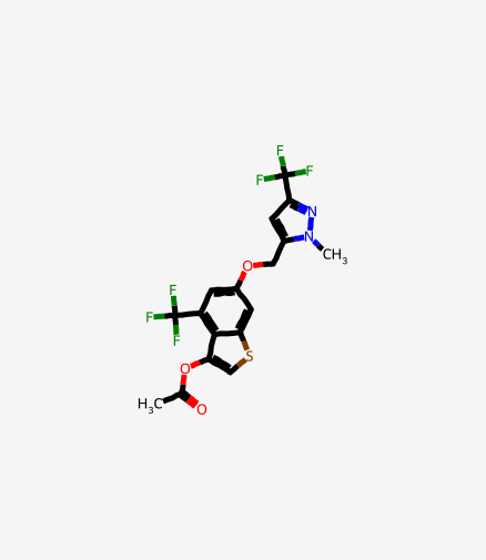 CC(=O)Oc1csc2cc(OCc3cc(C(F)(F)F)nn3C)cc(C(F)(F)F)c12